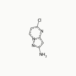 Nc1cc2nc(Cl)ccn2n1